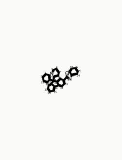 c1ccc(C2(c3ccccn3)c3ccccc3-c3ccc(-c4nc5ccccc5o4)cc32)cc1